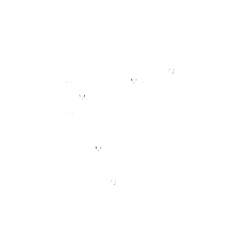 [Al+3].[Al+3].[O]=[Mo](=[O])([O-])[O-].[O]=[Mo](=[O])([O-])[O-].[O]=[Mo](=[O])([O-])[O-]